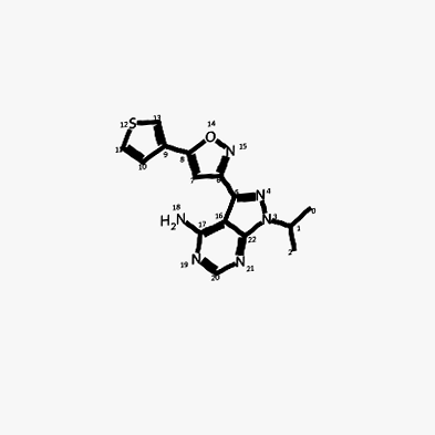 CC(C)n1nc(-c2cc(-c3ccsc3)on2)c2c(N)ncnc21